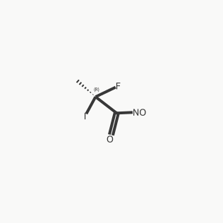 C[C@@](F)(I)C(=O)N=O